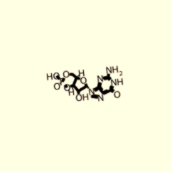 Nc1nc2c(ncn2[C@@H]2O[C@@H]3COP(=O)(O)O[C@@H]3C2O)c(=O)[nH]1